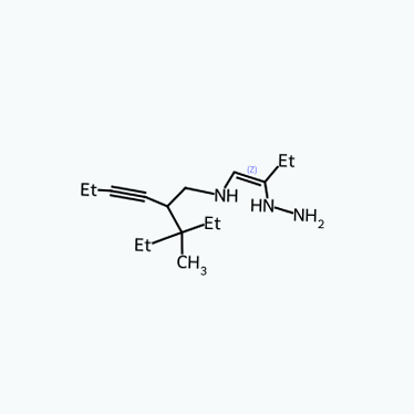 CCC#CC(CN/C=C(/CC)NN)C(C)(CC)CC